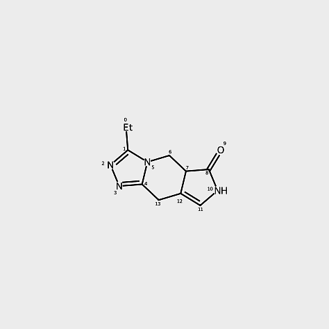 CCc1nnc2n1CC1C(=O)NC=C1C2